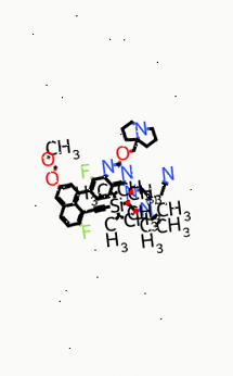 COCOc1cc(-c2ccc3c(N4CCN(C(C)(C)C)[C@@H](CC#N)C4)nc(OCC45CCCN4CCC5)nc3c2F)c2c(C#C[Si](C(C)C)(C(C)C)C(C)C)c(F)ccc2c1